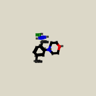 COc1ccc(OC)c(N2CCOCC2)c1.Cl.N#N